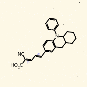 N#C/C(=C\C=C\c1ccc2c(c1)CC1CCCCC1N2c1ccccc1)C(=O)O